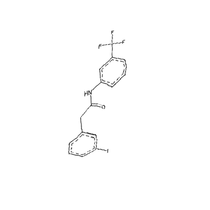 O=C(Cc1cccc(I)c1)Nc1cccc(C(F)(F)F)c1